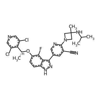 CC(C)NC1(C)CN(c2ncc(-c3n[nH]c4ccc(O[C@H](C)c5c(Cl)cncc5Cl)c(F)c34)cc2C#N)C1